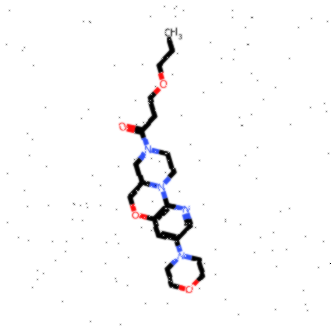 CCCOCCC(=O)N1CCN2c3ncc(N4CCOCC4)cc3OCC2C1